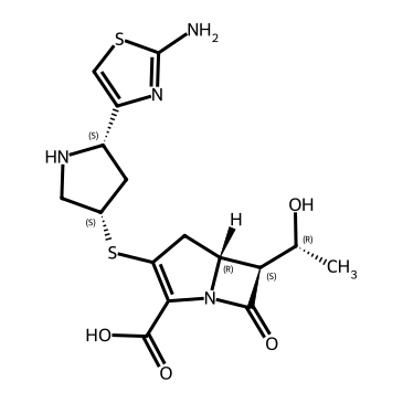 C[C@@H](O)[C@H]1C(=O)N2C(C(=O)O)=C(S[C@@H]3CN[C@H](c4csc(N)n4)C3)C[C@H]12